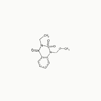 CCN1C(=O)c2ccccc2N(COC)S1(=O)=O